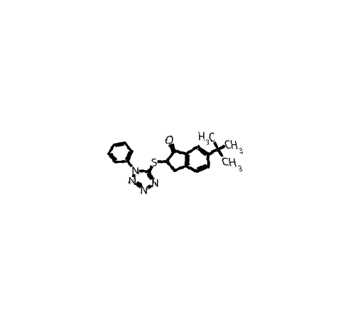 CC(C)(C)c1ccc2c(c1)C(=O)C(Sc1nnnn1-c1ccccc1)C2